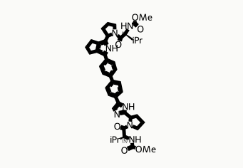 COC(=O)N[C@H](C(=O)N1CCCC1c1ncc(-c2ccc(-c3ccc(-c4[nH]c(C5CCCN5C(=O)[C@@H](NC(=O)OC)C(C)C)c5c4CCC5)cc3)cc2)[nH]1)C(C)C